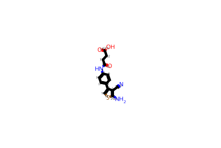 N#Cc1c(-c2ccc(NC(=O)CCC(=O)O)cc2)csc1N